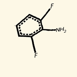 Nc1c(F)c[c]cc1F